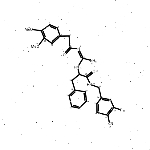 COc1ccc(CC(=O)N=C(N)NC(Cc2ccccc2)C(=O)NCc2ccc(C#N)c(F)c2)cc1OC